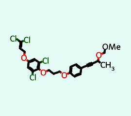 COCOC(C)C#Cc1ccc(OCCCOc2c(Cl)cc(OCC=C(Cl)Cl)cc2Cl)cc1